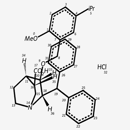 COc1ccc(C(C)C)cc1CO[C@H]1[C@@H]2CCN(C[C@H]2C(=O)O)[C@H]1C(c1ccccc1)c1ccccc1.Cl